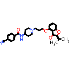 CC(C)=C1Oc2cccc(OCCCN3CCC(NC(=O)c4ccc(C#N)cc4)CC3)c2C1=O